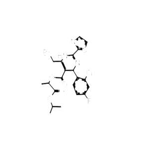 CC(C)OC(=O)C(C)OC(=O)C1=C(CBr)NC(c2nccs2)=NC1c1ccc(F)cc1Cl